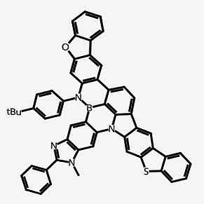 Cn1c(-c2ccccc2)nc2cc3c(cc21)-n1c2cc4sc5ccccc5c4cc2c2ccc4c(c21)B3N(c1ccc(C(C)(C)C)cc1)c1cc2oc3ccccc3c2cc1-4